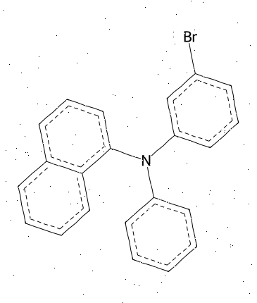 Brc1cccc(N(c2ccccc2)c2cccc3ccccc23)c1